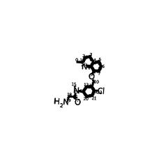 Cc1ccc2cccc(OCc3cc(N(C)C(=O)CN)ccc3Cl)c2n1